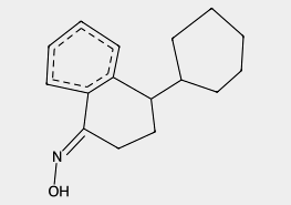 ON=C1CCC(C2CCCCC2)c2ccccc21